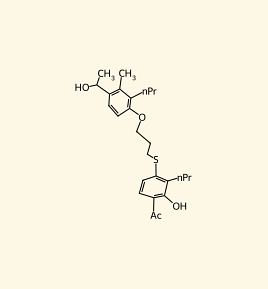 CCCc1c(OCCCSc2ccc(C(C)=O)c(O)c2CCC)ccc(C(C)O)c1C